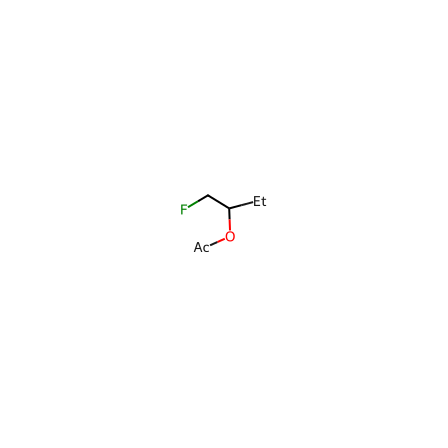 CCC(CF)OC(C)=O